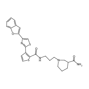 NC(=O)C1CCCN(CCCNC(=O)c2sccc2-c2nc(-c3cc4ccccc4o3)cs2)C1